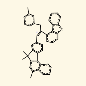 Cc1cccc(C/C(=C/c2ccc3c(c2)C(C)(C)c2cc(C)c4ccccc4c2-3)c2cccc3oc4ccccc4c23)c1